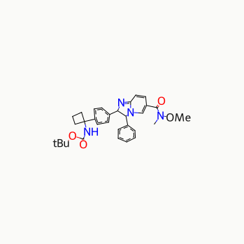 CON(C)C(=O)C1=CN2C(=NC(c3ccc(C4(NC(=O)OC(C)(C)C)CCC4)cc3)C2c2ccccc2)C=C1